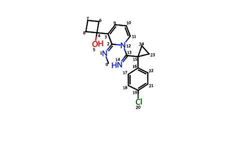 C/N=c1/c(C2(O)CCC2)cccn1C(=N)C1(c2ccc(Cl)cc2)CC1